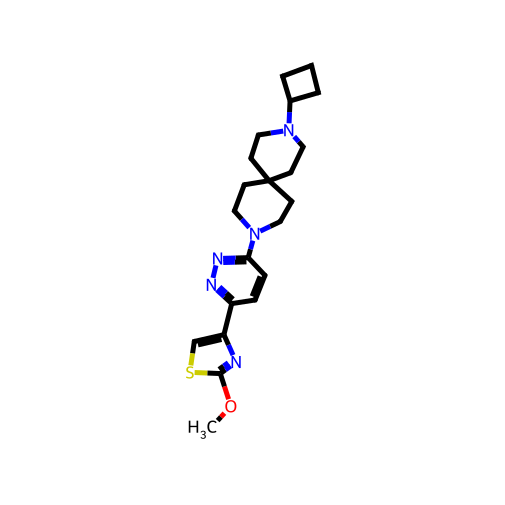 COc1nc(-c2ccc(N3CCC4(CC3)CCN(C3CCC3)CC4)nn2)cs1